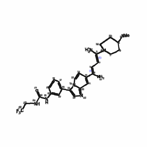 CNC1CCN(/C(N)=C/C=C(\N)c2ccn3c(-c4cccc(NC(=O)NCC(F)(F)F)c4)cnc3c2)CC1